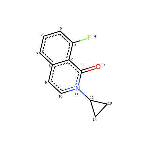 O=c1c2c(F)cccc2ccn1C1CC1